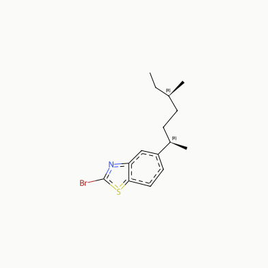 CC[C@@H](C)CC[C@@H](C)c1ccc2sc(Br)nc2c1